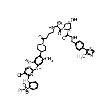 Cc1cc(Nc2ncc(Cl)c(Nc3ccccc3S(=O)(=O)C(C)C)n2)c(OC(C)C)cc1C1CCN(C(=O)CCCNC(C(=O)N2C[C@H](O)C[C@H]2C(=O)NCc2ccc(-c3scnc3C)cc2)C(C)(C)C)CC1